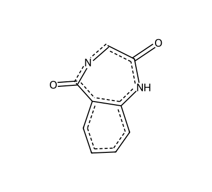 O=c1cnc(=O)c2ccccc2[nH]1